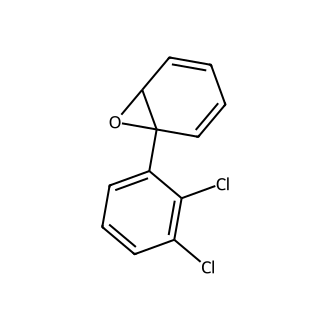 Clc1cccc(C23C=CC=CC2O3)c1Cl